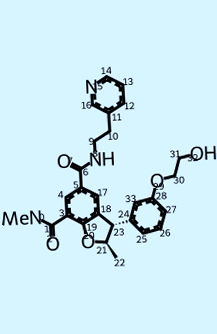 CNC(=O)c1cc(C(=O)NCCc2cccnc2)cc2c1O[C@H](C)[C@H]2c1cccc(OCCO)c1